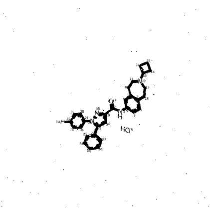 Cl.O=C(Nc1ccc2c(c1)CCN(C1CCC1)CC2)c1cc(-c2ccccc2)n(-c2ccc(F)cc2)n1